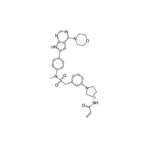 C=CC(=O)N[C@H]1CCN(c2cccc(CS(=O)(=O)N(C)c3ccc(-c4cc5c(N6CCOCC6)ncnc5[nH]4)cc3)c2)C1